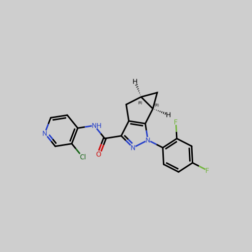 O=C(Nc1ccncc1Cl)c1nn(-c2ccc(F)cc2F)c2c1C[C@H]1C[C@@H]21